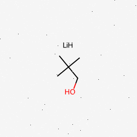 CC(C)(C)CO.[LiH]